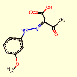 COc1cccc(NN=C(C(C)=O)C(=O)O)c1